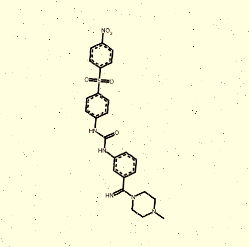 CN1CCN(C(=N)c2cccc(NC(=O)Nc3ccc(S(=O)(=O)c4ccc([N+](=O)[O-])cc4)cc3)c2)CC1